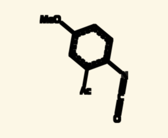 COc1ccc(N=C=O)c(C(C)=O)c1